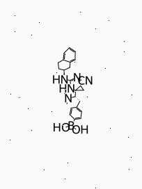 CN(C)[C@@H](Cc1ccc(B(O)O)cc1)C1(NC(=NC#N)N[C@H]2CCc3ccccc3C2)CC1